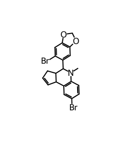 CN1c2ccc(Br)cc2C2C=CCC2C1c1cc2c(cc1Br)OCO2